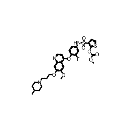 COC(=O)Oc1sccc1S(=O)(=O)Nc1ccc(Oc2ccnc3cc(OCCCN4CCC(C)CC4)c(OC)cc23)c(F)c1